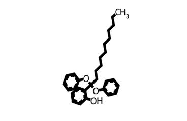 CCCCCCCCCCCC(Oc1ccccc1)(Oc1ccccc1)c1ccccc1O